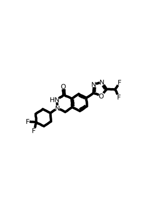 O=C1NN(C2CCC(F)(F)CC2)Cc2ccc(-c3nnc(C(F)F)o3)cc21